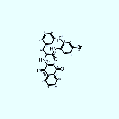 Cc1cc(Br)ccc1NC(=O)C(Cc1ccccc1)NC1=CC(=O)c2ccccc2C1=O